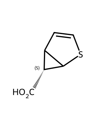 O=C(O)[C@@H]1C2C=CSC21